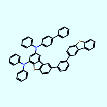 c1ccc(-c2ccc(N(c3ccccc3)c3cc(N(c4ccccc4)c4ccccc4)c4sc5ccc(-c6cccc(-c7ccc8sc9ccccc9c8c7)c6)cc5c4c3)cc2)cc1